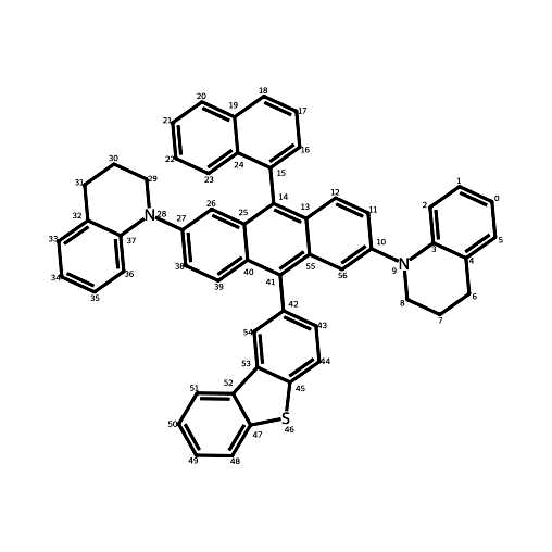 c1ccc2c(c1)CCCN2c1ccc2c(-c3cccc4ccccc34)c3cc(N4CCCc5ccccc54)ccc3c(-c3ccc4sc5ccccc5c4c3)c2c1